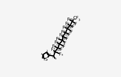 CC(c1cccs1)C(F)(F)C(F)(F)C(F)(F)C(F)(F)C(F)(F)C(F)(F)C(F)(F)C(F)(F)C(F)(F)C(F)(F)F